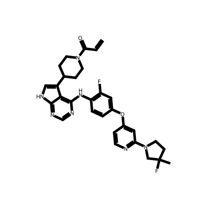 C=CC(=O)N1CCC(c2c[nH]c3ncnc(Nc4ccc(Oc5ccnc(N6CCC(C)(F)C6)c5)cc4F)c23)CC1